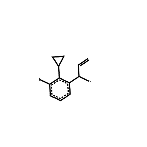 [CH2]C(C=C)c1cccc(I)c1C1CC1